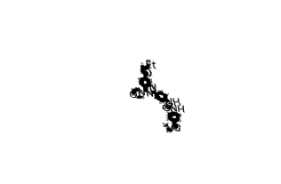 CCc1ccc(-c2ccc3c(N4CCOCC4)nc(-c4ccc(NC(=O)Nc5ccc(C(=O)N(C)C)cc5)cc4)nc3c2)o1